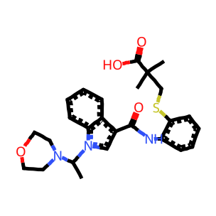 CC(N1CCOCC1)n1cc(C(=O)Nc2ccccc2SCC(C)(C)C(=O)O)c2ccccc21